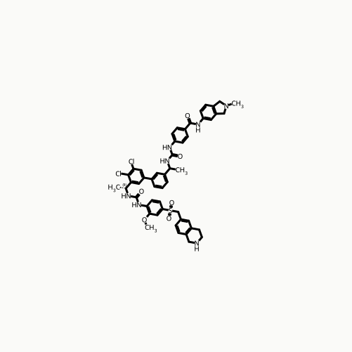 COc1cc(S(=O)(=O)Cc2ccc3c(c2)CCNC3)ccc1NC(=O)N[C@H](C)c1cc(-c2cccc(C(C)NC(=O)Nc3ccc(C(=O)Nc4ccc5c(c4)CN(C)C5)cc3)c2)cc(Cl)c1Cl